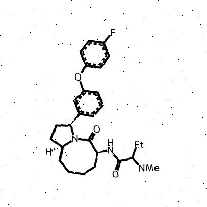 CCC(NC)C(=O)N[C@H]1CCCC[C@H]2CC[C@@H](c3cccc(Oc4ccc(F)cc4)c3)N2C1=O